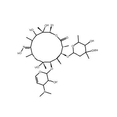 CC[C@H]1OC(=O)C(C)[C@@H](OC2CC(C)(OC)C(O)C(C)O2)C(C)[C@@H](OC2OC=CC(N(C)C)C2O)[C@](C)(O)CC(C)/C(=N\O)C(C)C(O)[C@]1(C)O